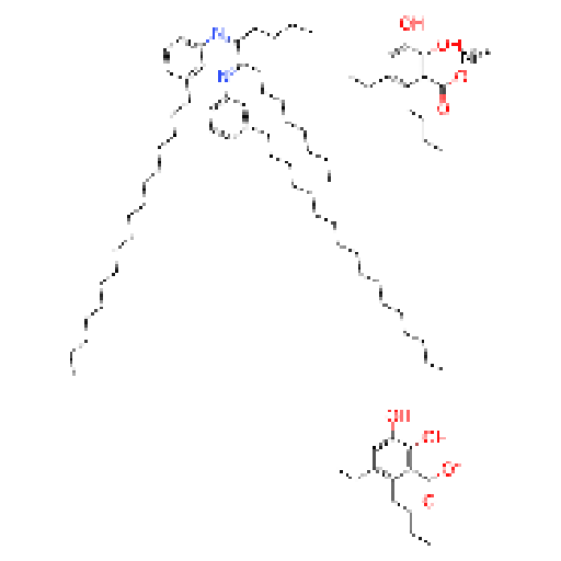 CCCCCCCCCCCCCCCCCc1cccc(N=C(CCCC)C(CCCCCCCC)=Nc2cccc(CCCCCCCCCCCCCCCCC)c2)c1.CCCCc1c(CC)cc(O)c(O)c1C(=O)[O-].CCCCc1c(CC)cc(O)c(O)c1C(=O)[O-].[Ni+2]